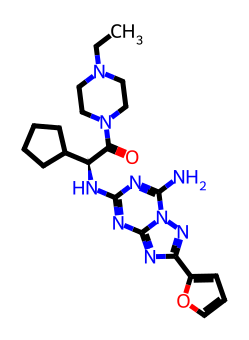 CCN1CCN(C(=O)[C@@H](Nc2nc(N)n3nc(-c4ccco4)nc3n2)C2CCCC2)CC1